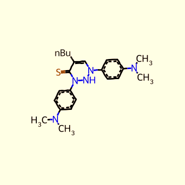 CCCCC1=CN(c2ccc(N(C)C)cc2)NN(c2ccc(N(C)C)cc2)C1=S